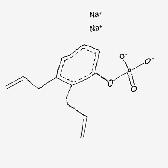 C=CCc1cccc(OP(=O)([O-])[O-])c1CC=C.[Na+].[Na+]